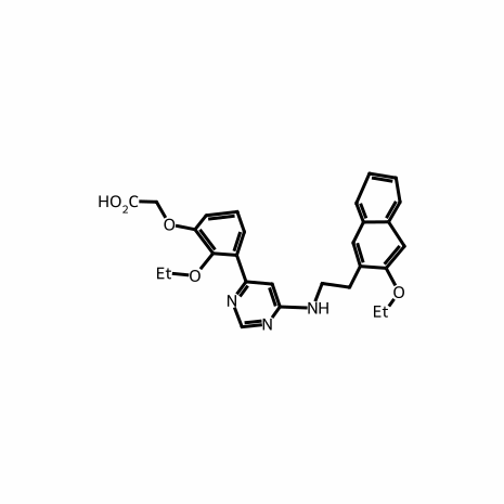 CCOc1cc2ccccc2cc1CCNc1cc(-c2cccc(OCC(=O)O)c2OCC)ncn1